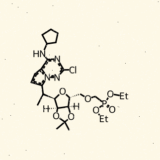 CCOP(=O)(COC[C@H]1O[C@H](C(C)c2ccc3c(NC4CCCC4)nc(Cl)nn23)[C@@H]2OC(C)(C)O[C@@H]21)OCC